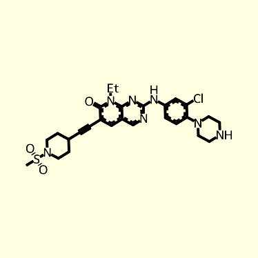 CCn1c(=O)c(C#CC2CCN(S(C)(=O)=O)CC2)cc2cnc(Nc3ccc(N4CCNCC4)c(Cl)c3)nc21